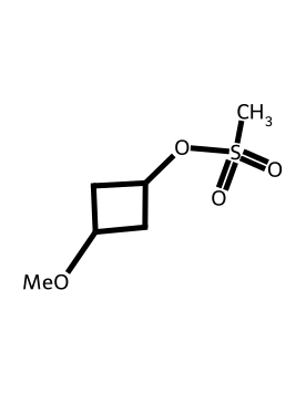 COC1CC(OS(C)(=O)=O)C1